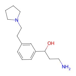 NCCC(O)c1cccc(CCN2CCCC2)c1